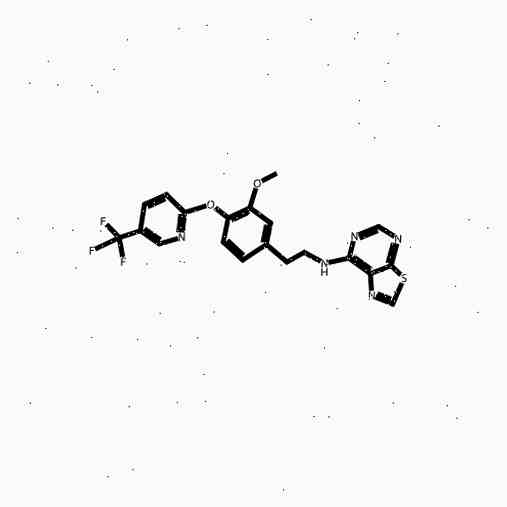 COc1cc(CCNc2ncnc3scnc23)ccc1Oc1ccc(C(F)(F)F)cn1